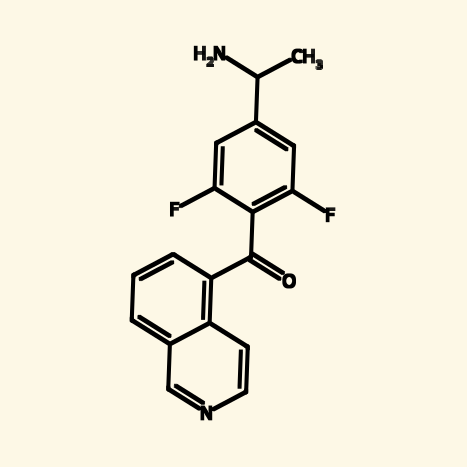 CC(N)c1cc(F)c(C(=O)c2cccc3cnccc23)c(F)c1